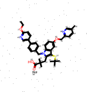 CCOc1ccc(-c2ccc(Cn3c(CC(C)(C)C(=O)O)c(SC(C)(C)C)c4cc(OCc5ccc(C)cn5)ccc43)cc2)cn1.[Na]